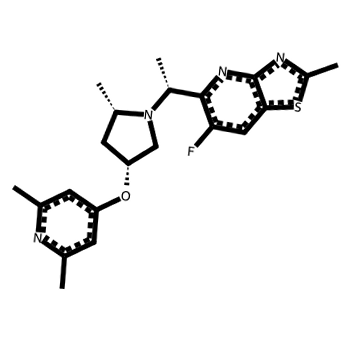 Cc1cc(O[C@@H]2C[C@H](C)N([C@H](C)c3nc4nc(C)sc4cc3F)C2)cc(C)n1